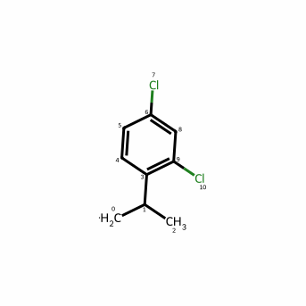 [CH2]C(C)c1ccc(Cl)cc1Cl